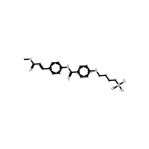 COC(=O)/C=C/c1ccc(OC(=O)c2ccc(OCCCC[Si](Cl)(Cl)Cl)cc2)cc1